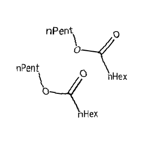 CCCCCCC(=O)OCCCCC.CCCCCCC(=O)OCCCCC